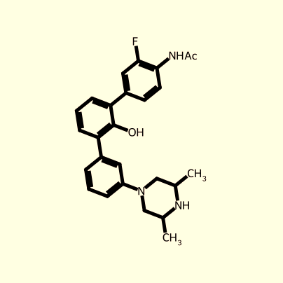 CC(=O)Nc1ccc(-c2cccc(-c3cccc(N4CC(C)NC(C)C4)c3)c2O)cc1F